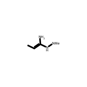 CC=C(N)NNC